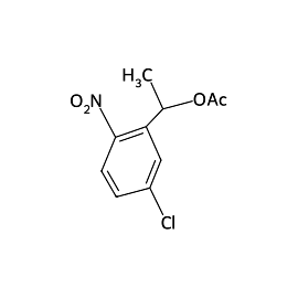 CC(=O)OC(C)c1cc(Cl)ccc1[N+](=O)[O-]